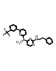 CN(c1cccc(-c2cccc(C(F)(F)F)c2)n1)c1ccnc(NCCc2ccccc2)n1